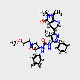 COCCN1C[C@@H](NC(=O)Nc2c(C)c(-c3cnc4c(c3)c(=O)n(C)n4C)nn2-c2ccccc2)[C@H](c2ccc(F)c(F)c2)O1